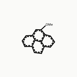 COc1cc2cccc3ccc4cccc1c4c32